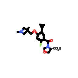 CN1CC(C)(COc2cc(F)c(C(=O)N3COC[C@H]3C(=O)O)cc2C2CC2)C1